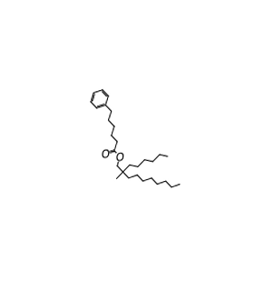 CCCCCCCCC(C)(CCCCCC)COC(=O)CCCCCc1ccccc1